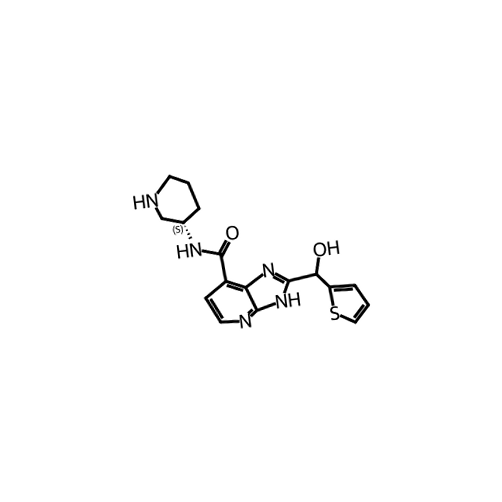 O=C(N[C@H]1CCCNC1)c1ccnc2[nH]c(C(O)c3cccs3)nc12